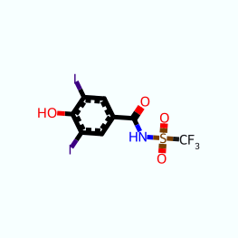 O=C(NS(=O)(=O)C(F)(F)F)c1cc(I)c(O)c(I)c1